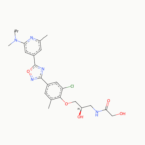 Cc1cc(-c2nc(-c3cc(C)c(OC[C@H](O)CNC(=O)CO)c(Cl)c3)no2)cc(N(C)C(C)C)n1